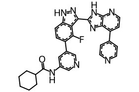 O=C(Nc1cncc(-c2ccc3[nH]nc(-c4nc5c(-c6ccncc6)ccnc5[nH]4)c3c2F)c1)C1CCCCC1